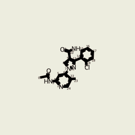 CC(=O)Nc1cc(-n2cc(C(N)=O)c(-c3ccccc3Cl)n2)c(C)cn1